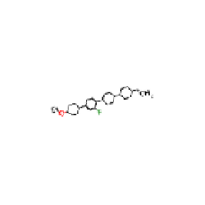 C=CC1CCC(C2CCC(c3ccc(C4CCC(OCC)CC4)cc3F)CC2)CC1